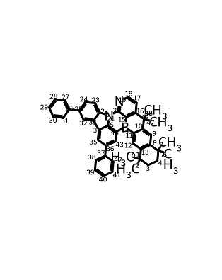 CC1(C)CCC(C)(C)c2cc3c(cc21)B1c2c(ccnc2-n2c4ccc(-c5ccccc5)cc4c4cc(-c5ccccc5)cc1c42)C3(C)C